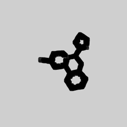 O=c1ccn2c(c1)-c1ccccc1CC2c1cccs1